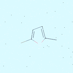 Cc1ccc(S)o1